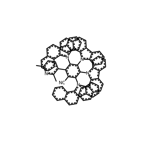 Cc1ccc(-c2c(C#N)c(-n3c4ccccc4c4ccc5ccccc5c43)c(-n3c4ccccc4c4ccc5ccccc5c43)c(-n3c4ccccc4c4ccc5ccccc5c43)c2-n2c3ccccc3c3ccc4ccccc4c32)c(C)n1